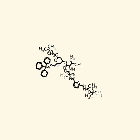 CC(C)C(NC(=O)C1(C)CSC(c2cccc(CNC(=O)OC(C)(C)C)n2)=N1)C(=O)OC(/C=C/CCSC(c1ccccc1)(c1ccccc1)c1ccccc1)CC(=O)OCC[Si](C)(C)C